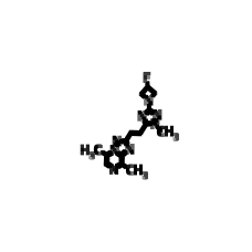 Cc1ncc(C)n2nc(/C=C/c3nc(N4CC(F)C4)nn3C)nc12